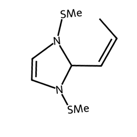 C/C=C\C1N(SC)C=CN1SC